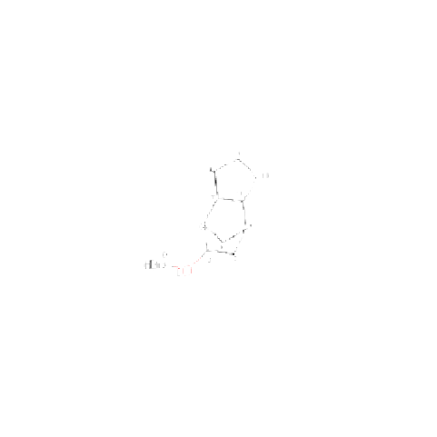 CC(C)(C)OC1CC2CC1C1CCCC21